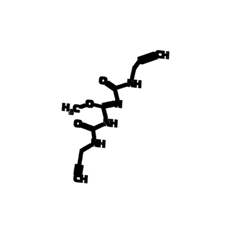 C#CCNC(=O)N=C(NC(=O)NCC#C)OC